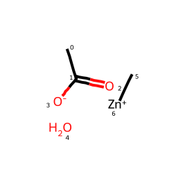 CC(=O)[O-].O.[CH3][Zn+]